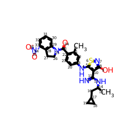 Cc1cc(Nc2snc(O)c2C(=N)NC(C)CC2CC2)ccc1C(=O)N1CCc2c1cccc2[N+](=O)[O-]